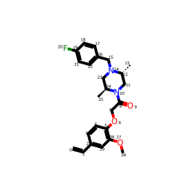 C=Cc1ccc(OCC(=O)N2C[C@@H](C)N(Cc3ccc(F)cc3)C[C@@H]2C)c(OC)c1